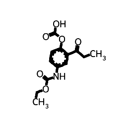 CCOC(=O)Nc1ccc(OC(=O)O)c(C(=O)CC)c1